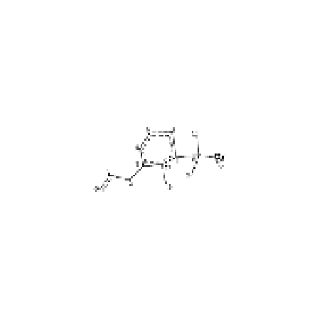 C=CCc1cccc(C(C)(C)Br)c1C